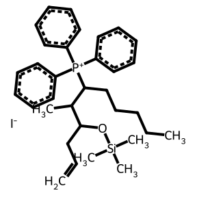 C=CCC(O[Si](C)(C)C)C(C)C(CCCCC)[P+](c1ccccc1)(c1ccccc1)c1ccccc1.[I-]